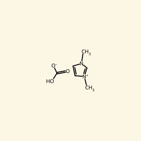 Cn1cc[n+](C)c1.O=C([O-])O